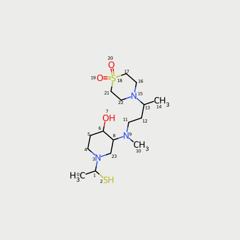 CC(S)N1CCC(O)C(N(C)CCC(C)N2CCS(=O)(=O)CC2)C1